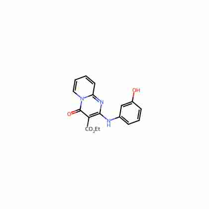 CCOC(=O)c1c(Nc2cccc(O)c2)nc2ccccn2c1=O